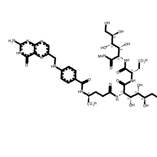 CNC(=O)[C@@H](NC(=O)[C@H](CC(=O)O)NC(=O)[C@@H](NC(=O)CC[C@H](NC(=O)c1ccc(NCc2cnc3nc(N)[nH]c(=O)c3n2)cc1)C(=O)O)[C@@H](O)[C@H](O)[C@H](O)CO)[C@@H](O)[C@H](O)[C@H](O)CO